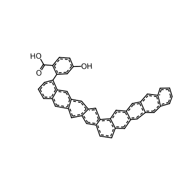 O=C(O)c1ccc(O)cc1-c1cccc2cc3cc4cc5ccc6cc7cc8cc9ccccc9cc8cc7cc6c5cc4cc3cc12